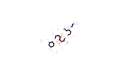 CNCC(=O)N[C@H]1CC(O)[C@@H](OC2O[C@H]3CC(N)[C@@H](O[C@@H]4C(N)C[C@@H](N)C(O)[C@H]4O)OC3C(O)C2NC)OC1CO